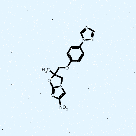 CC1(COc2ccc(-n3cncn3)cc2)Cn2cc([N+](=O)[O-])nc2O1